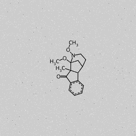 CON1CCC2CC1(OC)C1(C)C(=O)c3ccccc3C21